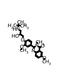 COc1ccc2nc(-c3ccc(OCC(O)CNC(C)(C)C)c(OC)c3)n(C)c(=O)c2c1